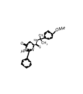 COc1ccc(C(C)(C)NC(=O)c2cc(=O)[nH]c(-c3ccccc3)n2)cc1